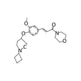 COc1cc(/C=C/C(=O)N2CCOCC2)ccc1OC1CCN(C2CCC2)CC1